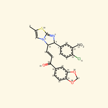 CC1=CN2C(=NC(c3ccc(Cl)c([N+](=O)[O-])c3)C2/C=C/C(=O)c2ccc3c(c2)OCO3)S1